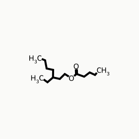 CCCCC(=O)OCCC(CC)CCCC